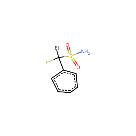 CCC(F)(c1ccccc1)S(N)(=O)=O